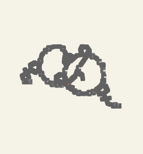 C=CC1/C2=C\C(=C/C)Cc3cccc4c3OCCOCCOc3ccc(C(C)(C)CC(C)(C)C)cc3OCCOCCOc3c(cccc31)Cc1cccc(c1OCCOCCOc1ccc(C(C)(C)CC(C)(C)C)cc1OCCOCCO2)C4